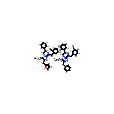 CC(=O)Oc1c(Cc2ccccc2)nc2c(Cc3cccc(C)c3)nc(-c3ccccc3)cn12.CC(=O)Oc1c(Cc2ccco2)nc2c(Cc3ccccc3C)nc(-c3ccccc3)cn12